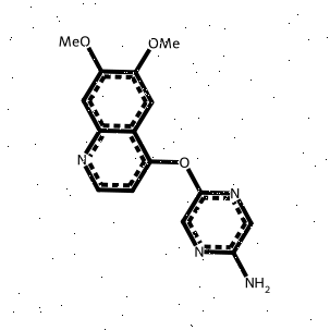 COc1cc2nccc(Oc3cnc(N)cn3)c2cc1OC